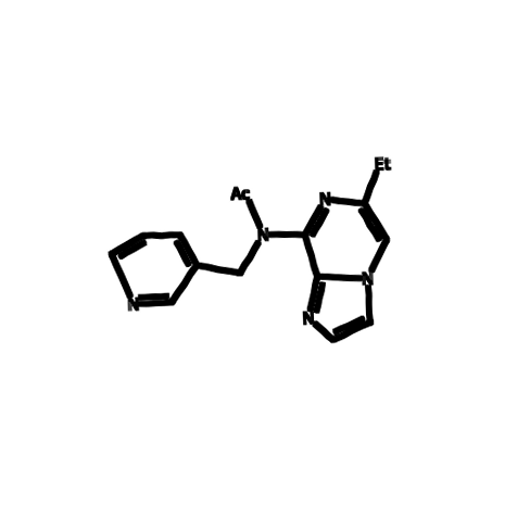 CCc1cn2ccnc2c(N(Cc2cccnc2)C(C)=O)n1